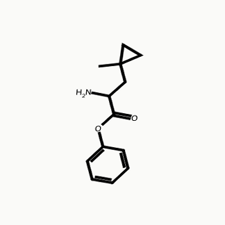 CC1(CC(N)C(=O)Oc2ccccc2)CC1